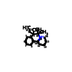 C=CC1(C)c2ccccc2-c2cccc[n+]2C1(C)C